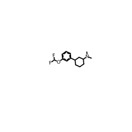 CN(C)C1CCCC(c2cccc(OC(F)F)c2)C1